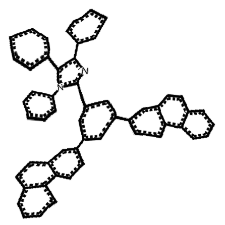 c1ccc(-c2nc(-c3cc(-c4ccc5c(ccc6ccccc65)c4)cc(-c4ccc5c(ccc6ccccc65)c4)c3)n(-c3ccccc3)c2-c2ccccc2)cc1